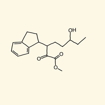 CCC(O)CCC(C(=O)C(=O)OC)C1CCc2ccccc21